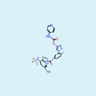 COc1c(NC(=O)c2ccc(C)c(-n3cc(OC(=O)Nc4ccncc4)nn3)c2)cc(C(C)(C)C)cc1NS(C)(=O)=O